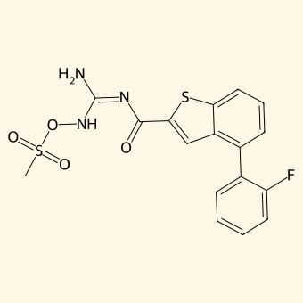 CS(=O)(=O)ONC(N)=NC(=O)c1cc2c(-c3ccccc3F)cccc2s1